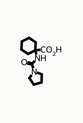 O=C(NC1(C(=O)O)CCCCC1)N1CCCC1